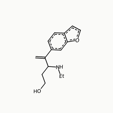 C=C(c1ccc2ccoc2c1)C(CCO)NCC